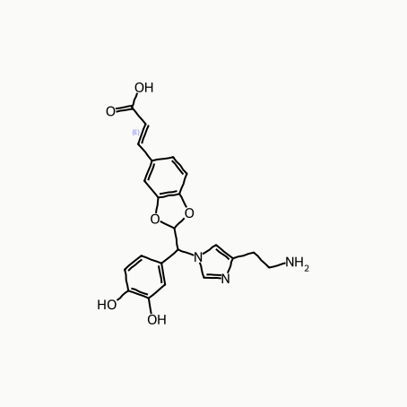 NCCc1cn(C(c2ccc(O)c(O)c2)C2Oc3ccc(/C=C/C(=O)O)cc3O2)cn1